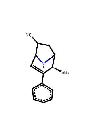 CCCC[C@H]1C(c2ccccc2)=CC2C(C#N)CC1N2C